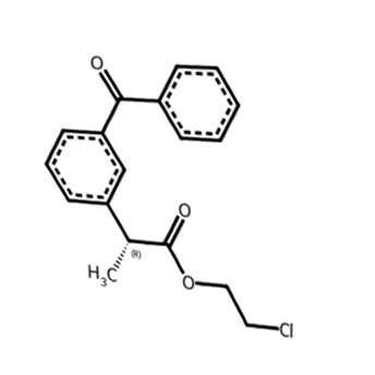 C[C@@H](C(=O)OCCCl)c1cccc(C(=O)c2ccccc2)c1